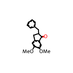 COc1cc2c(cc1OC)C(=O)C(Cc1ccccc1)C2